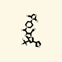 N#Cc1c(C(=O)N2CCC(N3C(=O)COC3=O)CC2)nc2c(C(F)(F)F)cc(-c3ccoc3)cn12